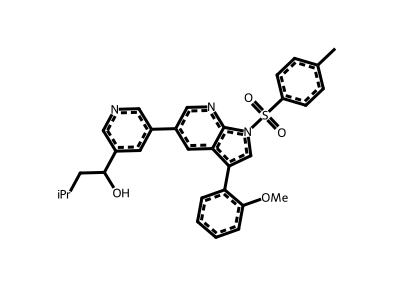 COc1ccccc1-c1cn(S(=O)(=O)c2ccc(C)cc2)c2ncc(-c3cncc(C(O)CC(C)C)c3)cc12